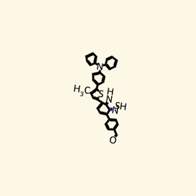 Cc1cc(C2=CC=C(c3ccc(C=O)cc3)/C(=N/S)C2=N)sc1-c1ccc(N(c2ccccc2)c2ccccc2)cc1